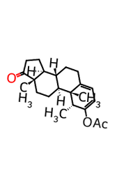 CC(=O)OC1=CC=C2CC[C@@H]3[C@H](CC[C@]4(C)C(=O)CC[C@@H]34)[C@@]2(C)[C@H]1C